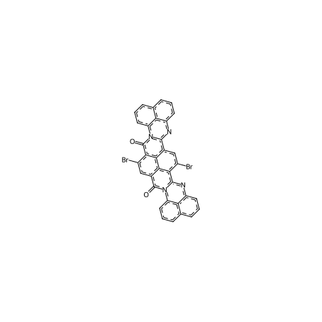 O=c1c2c(Br)cc3c(=O)n4c5cccc6cccc(nc4c4c(Br)cc(c2c34)c2nc3cccc4cccc(c43)n12)c65